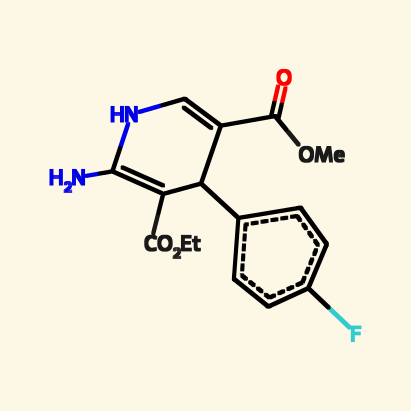 CCOC(=O)C1=C(N)NC=C(C(=O)OC)C1c1ccc(F)cc1